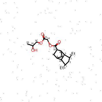 CCC1CC(CC)C2C3CC(CC3C(=O)OCC(=O)OCC(C)O)C12